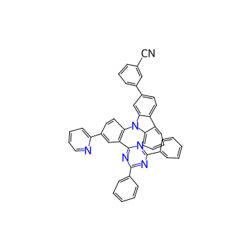 N#Cc1cccc(-c2ccc3c4ccccc4n(-c4ccc(-c5ccccn5)cc4-c4nc(-c5ccccc5)nc(-c5ccccc5)n4)c3c2)c1